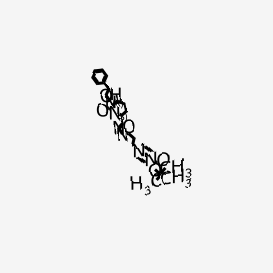 CC(C)(C)OC(=O)N1CCN(CCc2nnc([C@@H]3CC[C@@H]4CN3C(=O)N4OCc3ccccc3)o2)CC1